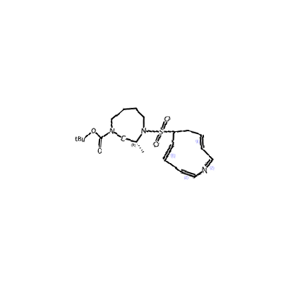 C[C@@H]1CN(C(=O)OC(C)(C)C)CCCCN1S(=O)(=O)C1/C=C/C=C\N=C/C=C/C1